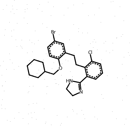 Clc1cccc(C2=NCCN2)c1CCc1cc(Br)ccc1OCC1CCCCC1